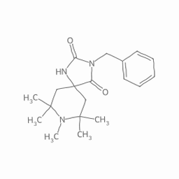 CN1C(C)(C)CC2(CC1(C)C)NC(=O)N(Cc1ccccc1)C2=O